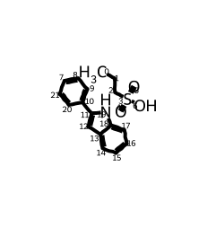 CCCS(=O)(=O)O.c1ccc(-c2cc3ccccc3[nH]2)cc1